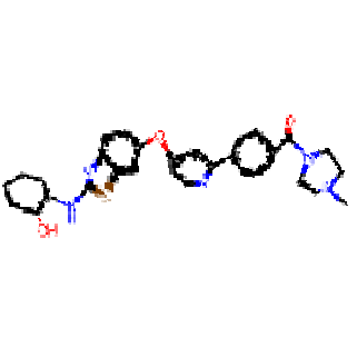 CN1CCN(C(=O)c2ccc(-c3cc(Oc4ccc5nc(N[C@@H]6CCCC[C@H]6O)sc5c4)ccn3)cc2)CC1